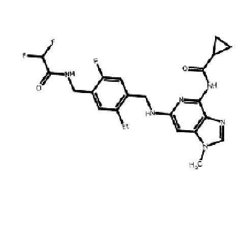 CCc1cc(CNC(=O)C(F)F)c(F)cc1CNc1cc2c(ncn2C)c(NC(=O)C2CC2)n1